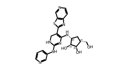 OC[C@H]1C[C@@H](NC2=C(c3nc4ccncc4s3)CNC(Nc3cccnc3)=N2)[C@H](O)[C@@H]1O